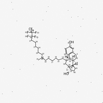 C=CC12CCc3cc(O)ccc3[C@H]1C(CCCCCCN(C)CCCCCCC(F)(F)C(F)(F)C(F)(F)F)C[C@]1(C)[C@@H](O)CC[C@@H]21